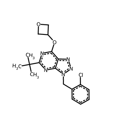 CC(C)(C)c1nc(OC2COC2)c2nnn(Cc3ccccc3Cl)c2n1